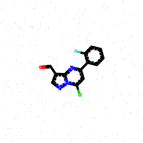 O=Cc1cnn2c(Cl)cc(-c3ccccc3F)nc12